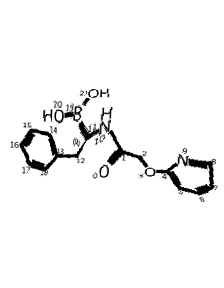 O=C(COc1ccccn1)N[C@@H](Cc1ccccc1)B(O)O